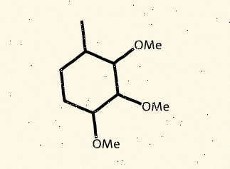 COC1CCC(C)C(OC)C1OC